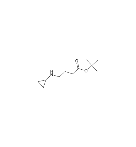 CC(C)(C)OC(=O)CCCNC1CC1